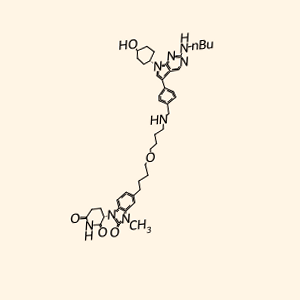 CCCCNc1ncc2c(-c3ccc(CNCCCCOCCCCc4ccc5c(c4)n(C)c(=O)n5[C@H]4CCC(=O)NC4=O)cc3)cn([C@H]3CC[C@H](O)CC3)c2n1